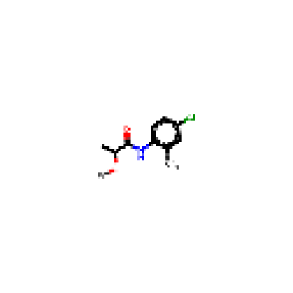 CCOC(C)C(=O)Nc1ccc(Cl)cc1C(F)(F)F